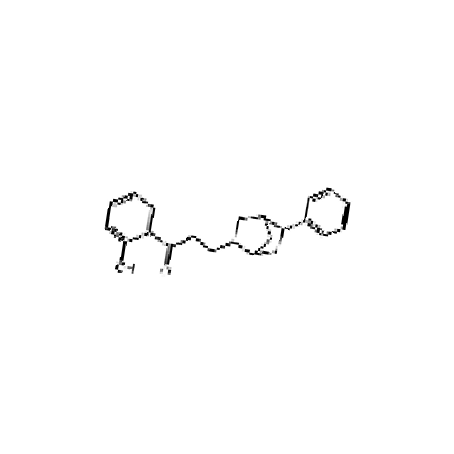 O=C(CCC1CC2CC1CC2c1ccccc1)c1ccccc1O